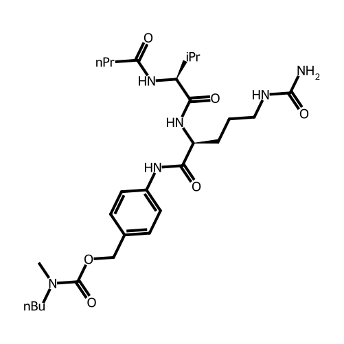 CCCCN(C)C(=O)OCc1ccc(NC(=O)[C@H](CCCNC(N)=O)NC(=O)[C@@H](NC(=O)CCC)C(C)C)cc1